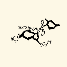 Cc1ccc(S(=O)(=O)N(N)c2cc(S(=O)(=O)O)cc3cc(S(=O)(=O)O)cc(S(=O)(=O)O)c23)c(C)c1